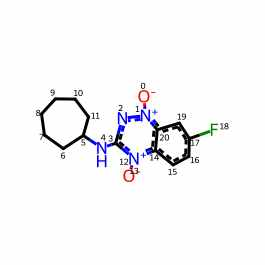 [O-][n+]1nc(NC2CCCCCC2)[n+]([O-])c2ccc(F)cc21